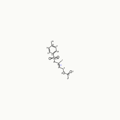 CC(=O)OC/C=C(\C)CS(=O)(=O)c1ccc(C)cc1